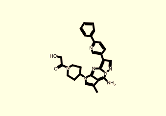 Cc1cn(C2CCN(C(=O)CO)CC2)c2nc3c(-c4ccc(-c5ccccc5)nc4)cnn3c(N)c12